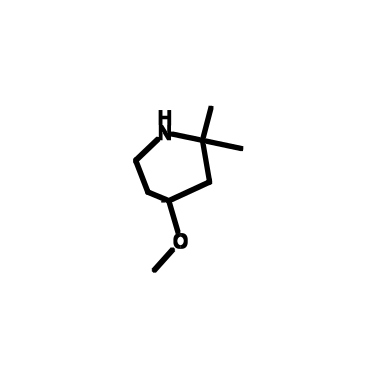 CO[C]1CCNC(C)(C)C1